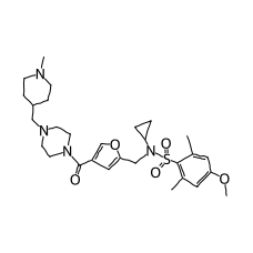 COc1cc(C)c(S(=O)(=O)N(Cc2cc(C(=O)N3CCN(CC4CCN(C)CC4)CC3)co2)C2CC2)c(C)c1